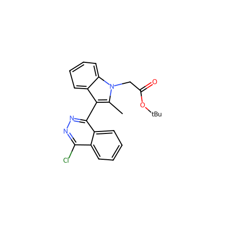 Cc1c(-c2nnc(Cl)c3ccccc23)c2ccccc2n1CC(=O)OC(C)(C)C